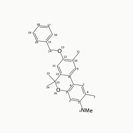 CNc1cc2c(cc1C)-c1cc(C)c(OCc3ccccc3)cc1C(C)(C)O2